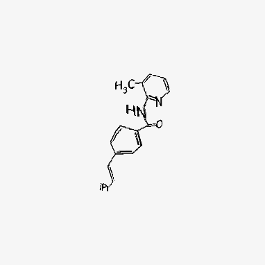 Cc1cccnc1NC(=O)c1ccc(/C=C/C(C)C)cc1